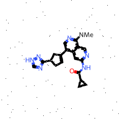 CNc1ncc(C2=CCC(c3nc[nH]n3)C2)c2cc(NC(=O)C3CC3)ncc12